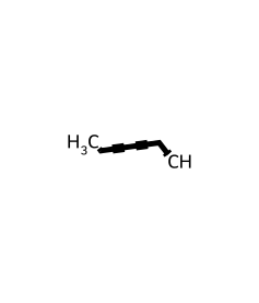 C#CCC#CC#CCC